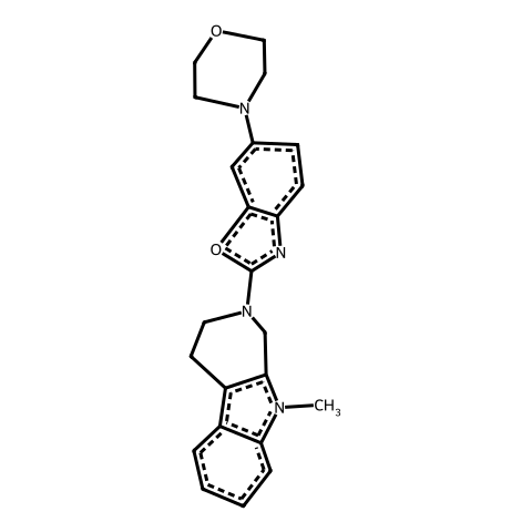 Cn1c2c(c3ccccc31)CCN(c1nc3ccc(N4CCOCC4)cc3o1)C2